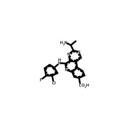 CC(N)c1ncc2c(n1)c(Nc1ccc(F)c(Cl)c1)nc1cc(C(=O)O)ccc12